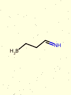 BCCC=N